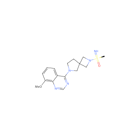 COc1cccc2c(N3CCC4(C3)CN([S@](C)(=N)=O)C4)ncnc12